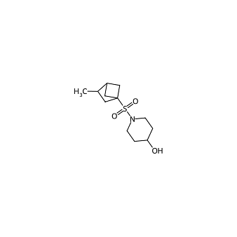 CC1CC2(S(=O)(=O)N3CCC(O)CC3)CC1C2